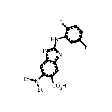 CCN(CC)c1cc2[nH]c(Nc3cc(F)ccc3F)nc2cc1C(=O)O